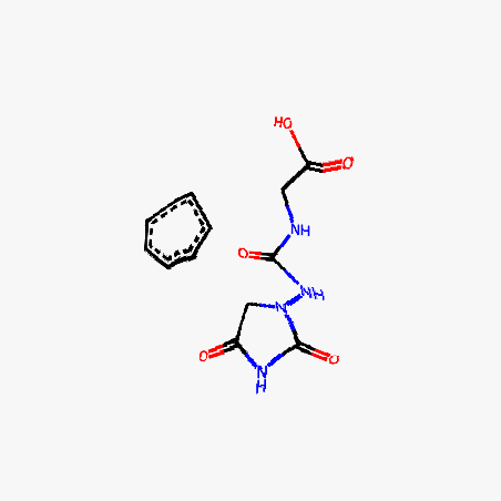 O=C(O)CNC(=O)NN1CC(=O)NC1=O.c1ccccc1